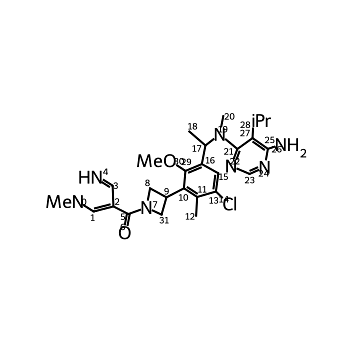 CN/C=C(\C=N)C(=O)N1CC(c2c(C)c(Cl)cc(C(C)N(C)c3ncnc(N)c3C(C)C)c2OC)C1